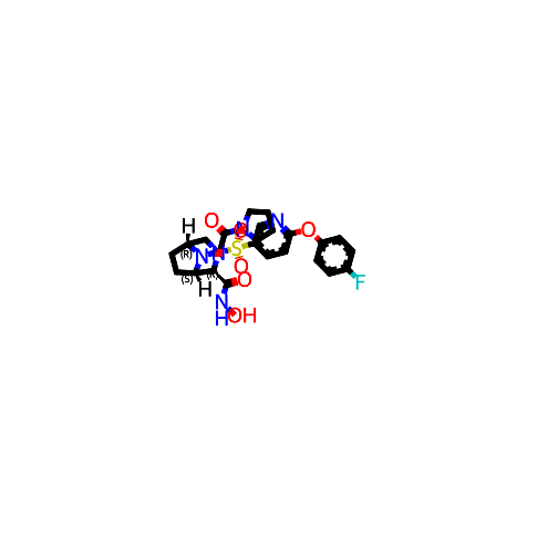 O=C(NO)[C@H]1[C@@H]2CC[C@H](CN1S(=O)(=O)c1ccc(Oc3ccc(F)cc3)nc1)N2CC(=O)N1CCCC1